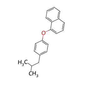 CC(C)Cc1ccc(Oc2cccc3ccccc23)cc1